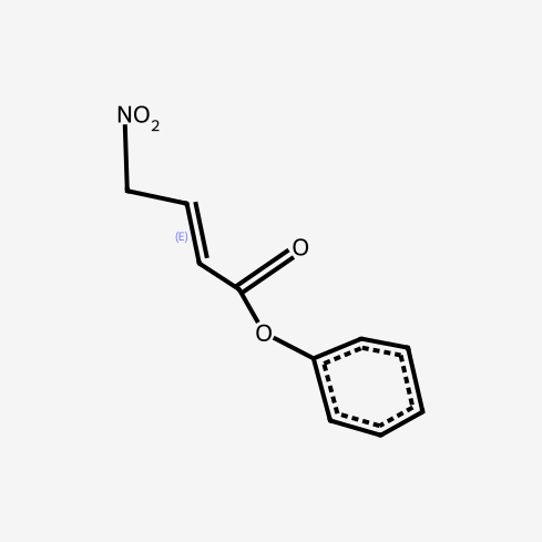 O=C(/C=C/C[N+](=O)[O-])Oc1ccccc1